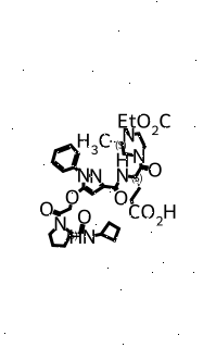 CCOC(=O)N1CCN(C(=O)[C@H](CCC(=O)O)NC(=O)c2cc(OCC(=O)N3CCC[C@H]3C(=O)NC3CCC3)n(-c3ccccc3)n2)C[C@@H]1C